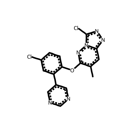 Cc1cc2nnc(Cl)n2nc1Oc1ccc(Cl)cc1-c1cncnc1